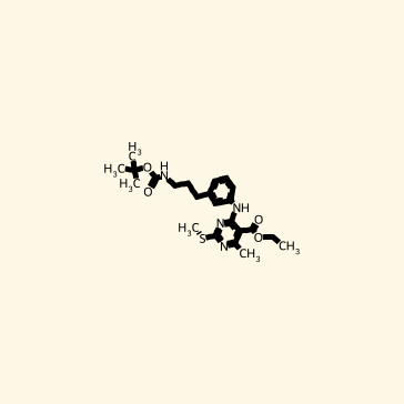 CCOC(=O)c1c(C)nc(SC)nc1Nc1cccc(CCCNC(=O)OC(C)(C)C)c1